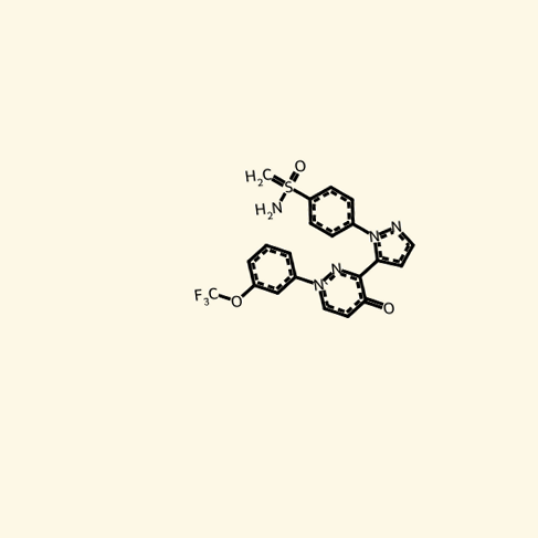 C=S(N)(=O)c1ccc(-n2nccc2-c2nn(-c3cccc(OC(F)(F)F)c3)ccc2=O)cc1